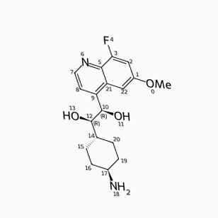 COc1cc(F)c2nccc([C@@H](O)[C@H](O)[C@H]3CC[C@H](N)CC3)c2c1